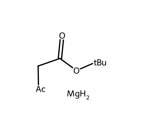 CC(=O)CC(=O)OC(C)(C)C.[MgH2]